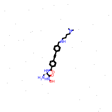 CN(C)CCCCNCc1ccc(C#Cc2ccc(C(=O)N[C@@H](CN)C(=O)NO)cc2)cc1